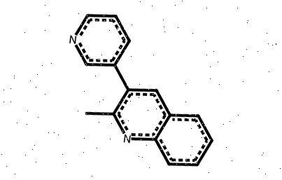 Cc1nc2ccccc2cc1-c1cccnc1